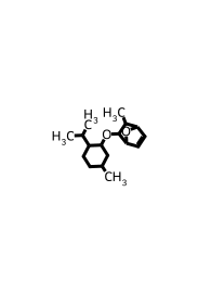 CC1CCC(C(C)C)C(OC2C3C=CC(O3)C2C)C1